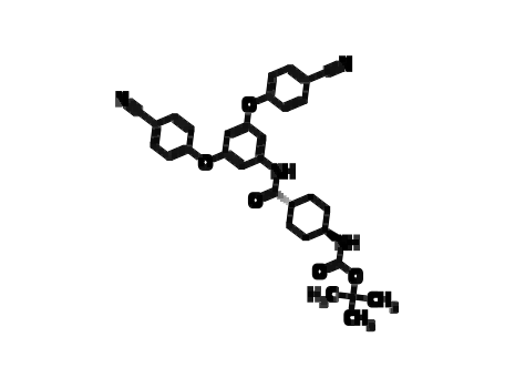 CC(C)(C)OC(=O)N[C@H]1CC[C@H](C(=O)Nc2cc(Oc3ccc(C#N)cc3)cc(Oc3ccc(C#N)cc3)c2)CC1